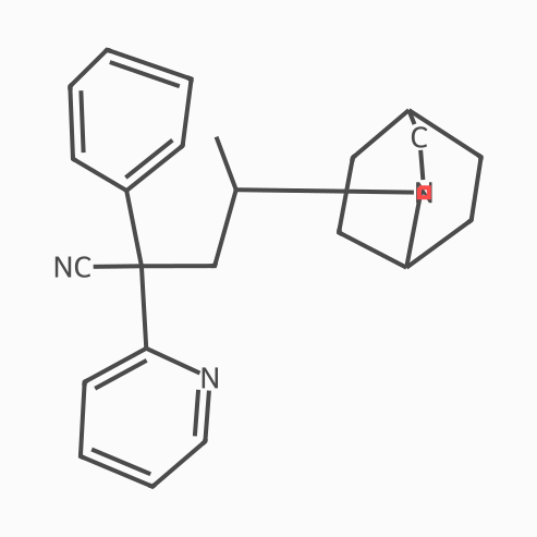 CC(CC(C#N)(c1ccccc1)c1ccccn1)N1CC2CCC(CC2)C1